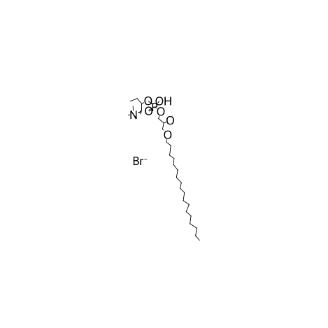 CCCCCCCCCCCCCCCCCCOCC(COP(=O)(O)OC(CC)C[N+](C)(C)C)OC.[Br-]